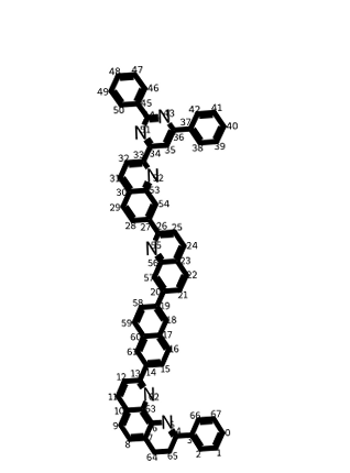 c1ccc(C2=Nc3c(ccc4ccc(-c5ccc6cc(-c7ccc8ccc(-c9ccc%10ccc(-c%11cc(-c%12ccccc%12)nc(-c%12ccccc%12)n%11)nc%10c9)nc8c7)ccc6c5)nc34)CC2)cc1